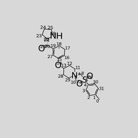 Cc1ccc(S(=O)(=O)C[N+]2(C)CCC(OC3=CC[CH]C(C(=O)[C@@H]4CCCN4)=C3)CC2)cc1